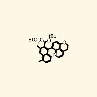 CCOC(=O)[C@@H](OC(C)(C)C)c1c(C)cc2c(C)cccc2c1-c1ccc2c3c(ccnc13)CCO2